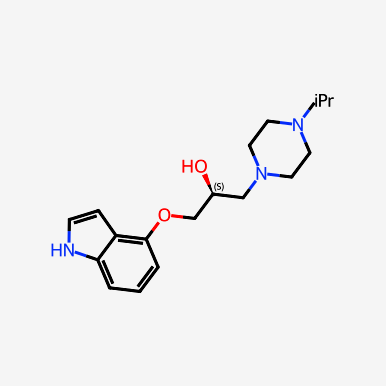 CC(C)N1CCN(C[C@H](O)COc2cccc3[nH]ccc23)CC1